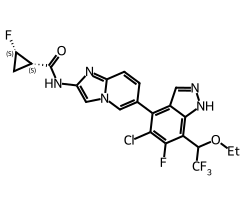 CCOC(c1c(F)c(Cl)c(-c2ccc3nc(NC(=O)[C@@H]4C[C@@H]4F)cn3c2)c2cn[nH]c12)C(F)(F)F